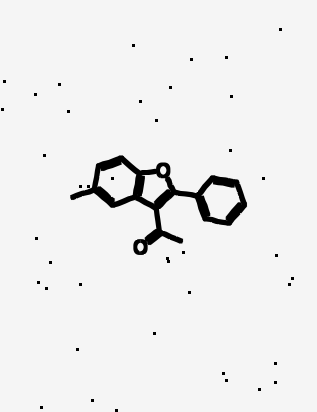 CC(=O)c1c(-c2ccccc2)oc2ccc(C)cc12